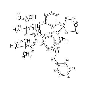 COC1(c2cccc(Cn3c(CC(C)(C)C(=O)O)c(SC(C)(C)C)c4cc(OCc5ccccn5)ccc43)c2)CCOCC1